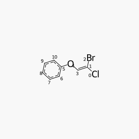 ClC(Br)=COc1ccccc1